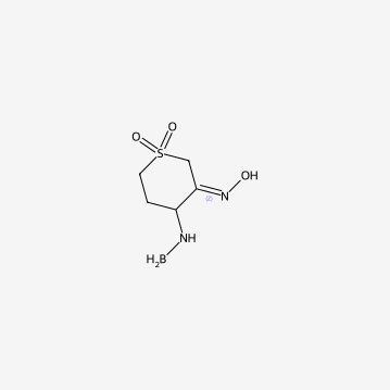 BNC1CCS(=O)(=O)C/C1=N\O